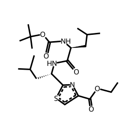 CCOC(=O)c1csc([C@H](CC(C)C)NC(=O)[C@H](CC(C)C)NC(=O)OC(C)(C)C)n1